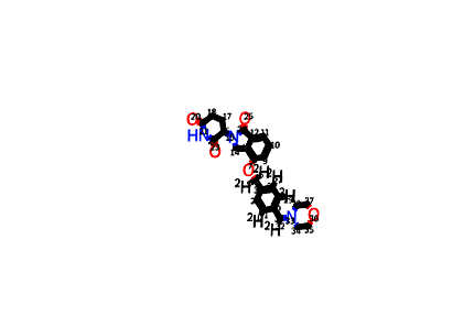 [2H]c1cc(C([2H])([2H])Oc2cccc3c2CN(C2CCC(=O)NC2=O)C3=O)c([2H])c([2H])c1C([2H])N1CCOCC1